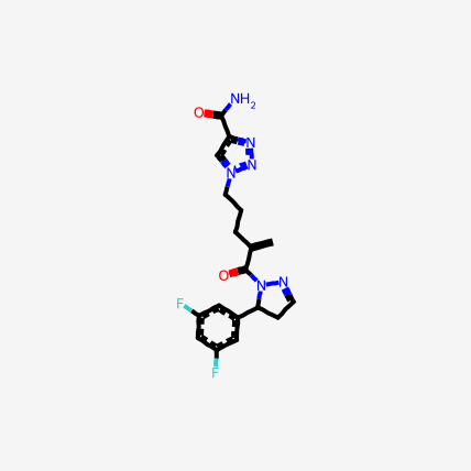 C=C(CCCn1cc(C(N)=O)nn1)C(=O)N1N=CCC1c1cc(F)cc(F)c1